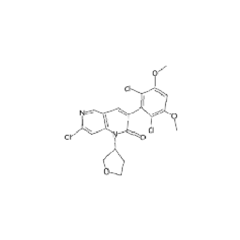 COc1cc(OC)c(Cl)c(-c2cc3cnc(Cl)cc3n(C3CCOC3)c2=O)c1Cl